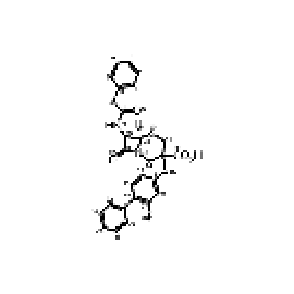 O=C(Cc1ccccc1)N[C@@H]1C(=O)N2CC(Sc3ccc(-c4ccccc4)c(F)c3)(C(=O)O)CS[C@H]12